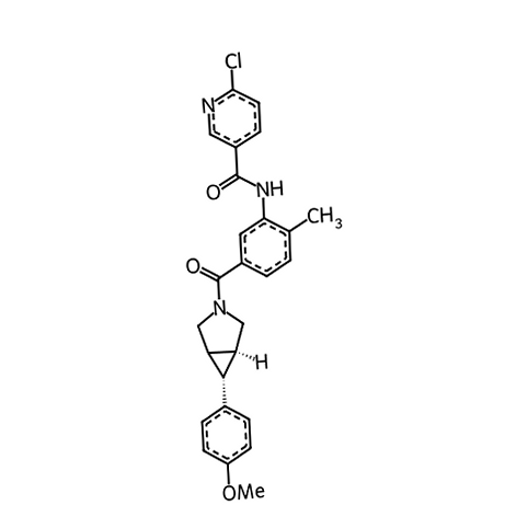 COc1ccc([C@@H]2C3CN(C(=O)c4ccc(C)c(NC(=O)c5ccc(Cl)nc5)c4)C[C@H]32)cc1